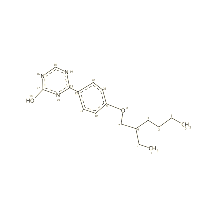 CCCCC(CC)COc1ccc(-c2ncnc(O)n2)cc1